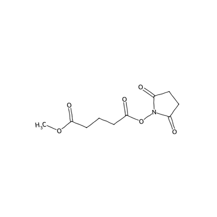 COC(=O)CCCC(=O)ON1C(=O)CCC1=O